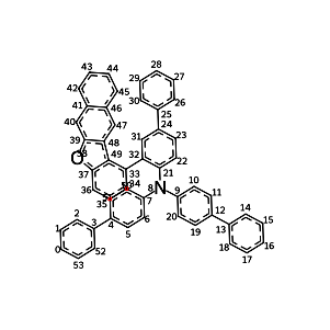 c1ccc(-c2ccc(N(c3ccc(-c4ccccc4)cc3)c3ccc(-c4ccccc4)cc3-c3cccc4oc5cc6ccccc6cc5c34)cc2)cc1